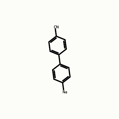 N#Cc1ccc(-c2cc[c]([Na])cc2)cc1